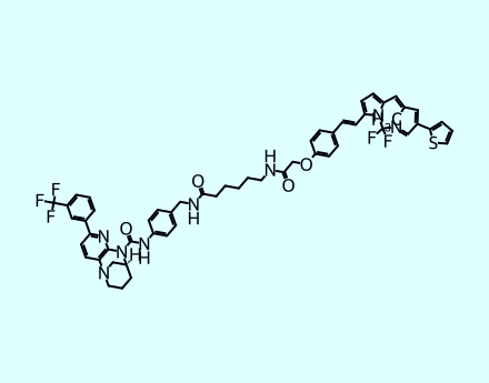 CC1=C\c2ccc(/C=C/c3ccc(OCC(=O)NCCCCCC(=O)NCc4ccc(NC(=O)N5c6nc(-c7cccc(C(F)(F)F)c7)ccc6N6CCC[C@H]5C6)cc4)cc3)n2C(F)(F)/N=C/C(c2cccs2)=C\1